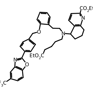 CCOC(=O)CCCCN(CCc1ccccc1OCc1ccc(-c2nc3cc(C(F)(F)F)ccc3o2)cc1)C1CCCc2nc(C(=O)OCC)ccc21